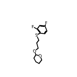 Fc1ccc(SCCCOC2CCCCO2)c(F)c1